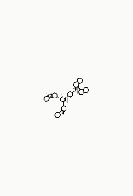 c1ccc2c(c1)ccc1c2c2c3ccccc3ccc2n1-c1ccc(-c2nc(-c3ccc4oc5ccccc5c4c3)cc(-c3ccc4sc5ccccc5c4c3)n2)cc1